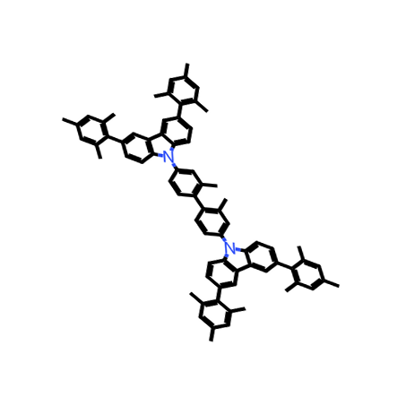 Cc1cc(C)c(-c2ccc3c(c2)c2cc(-c4c(C)cc(C)cc4C)ccc2n3-c2ccc(-c3ccc(-n4c5ccc(-c6c(C)cc(C)cc6C)cc5c5cc(-c6c(C)cc(C)cc6C)ccc54)cc3C)c(C)c2)c(C)c1